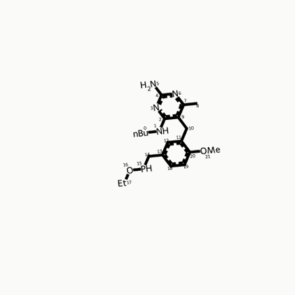 CCCCNc1nc(N)nc(C)c1Cc1cc(CPOCC)ccc1OC